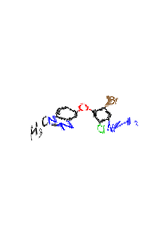 Cn1cnc2cc(Oc3cc(Cl)c(N)cc3Br)ccc21